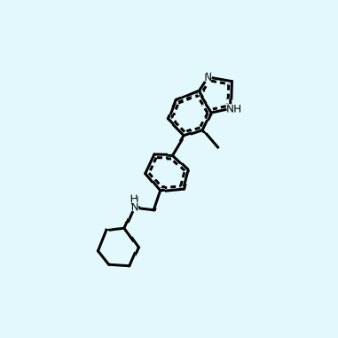 Cc1c(-c2ccc(CNC3CCCCC3)cc2)ccc2nc[nH]c12